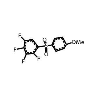 COc1ccc(S(=O)(=O)c2cc(F)c(F)c(F)c2F)cc1